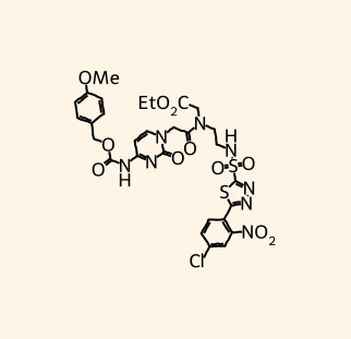 CCOC(=O)CN(CCNS(=O)(=O)c1nnc(-c2ccc(Cl)cc2[N+](=O)[O-])s1)C(=O)Cn1ccc(NC(=O)OCc2ccc(OC)cc2)nc1=O